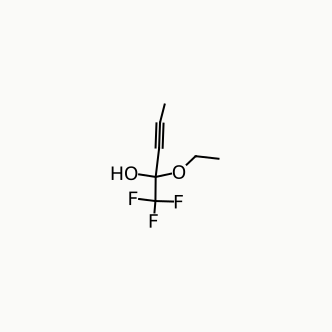 CC#CC(O)(OCC)C(F)(F)F